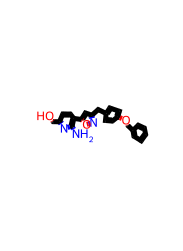 Nc1nc(CO)ccc1-c1cc(Cc2ccc(OCc3ccccc3)cc2)no1